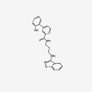 O=C(NCCCNc1nsc2ccccc12)c1cccc(-c2ccccc2O)c1